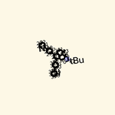 C/C(=C\C1(C)C=CC2=C3C(C=CC(C)C31)C(c1ccc(C3CC=CC=N3)cc1)C=C2c1ccc(-c2ccccn2)cc1)C(C)(C)C